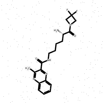 Cc1nc2ccccc2nc1C(=O)NCCCC[C@H](N)C(=O)N1CC(F)(F)C1